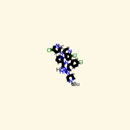 C#CC(c1ccccc1)N(c1cc(Cl)c2ncc(C#N)c(Nc3cncc(Cl)c3)c2c1)C(C1=CN(C2CCN(C(C)(C)C)CC2)NN1)c1ccc(Cl)cc1